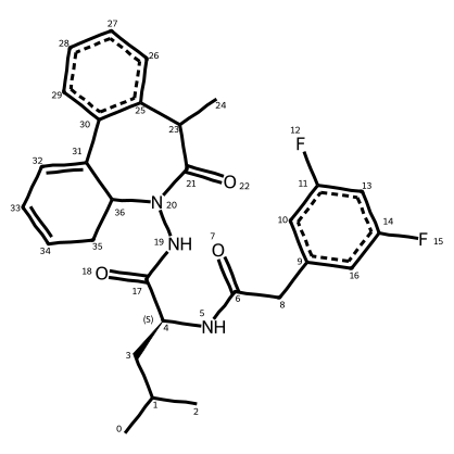 CC(C)C[C@H](NC(=O)Cc1cc(F)cc(F)c1)C(=O)NN1C(=O)C(C)c2ccccc2C2=CC=CCC21